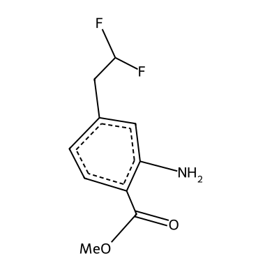 COC(=O)c1ccc(CC(F)F)cc1N